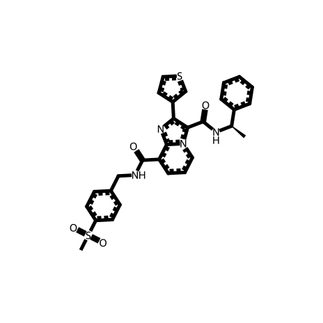 C[C@@H](NC(=O)c1c(-c2ccsc2)nc2c(C(=O)NCc3ccc(S(C)(=O)=O)cc3)cccn12)c1ccccc1